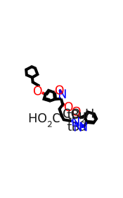 CC(C)(C)C(CC(CC(=O)c1noc2cc(OCCC3CCCCC3)ccc12)(C(=O)O)C(=O)O)(n1nnc2ccccc2c1=O)C(C)(C)C